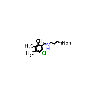 CCCCCCCCCCCCNCc1ccc(C)c(C)c1C.Cl